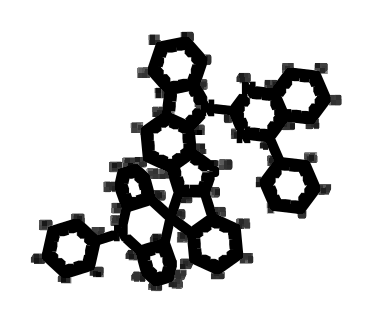 c1ccc(-c2nc(-n3c4ccccc4c4ccc5c6c(sc5c43)-c3ccccc3C63c4ccccc4N(c4ccccc4)c4ccccc43)nc3ccccc23)cc1